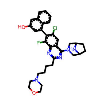 Oc1cc(-c2c(Cl)cc3c(N4CC5CCC(C4)N5)nc(CCCCN4CCOCC4)nc3c2F)c2ccccc2c1